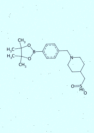 CC1(C)OB(c2ccc(CN3CCC(C[SH](=O)=O)CC3)cc2)OC1(C)C